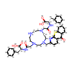 O=C(CN1CCNCCN(CC(=O)N[C@@H](Cc2ccccc2)C(=O)O)CCN(Cc2ccc3c(=O)c4ccccc4sc3n2)CC1)N[C@@H](Cc1ccccc1)C(=O)O